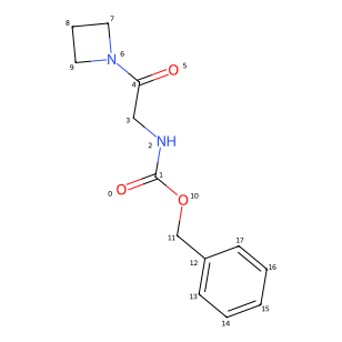 O=C(NCC(=O)N1CCC1)OCc1ccccc1